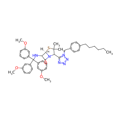 CCCCCCc1ccc(Cn2nnnc2C2N3C(=O)C(NC(c4cccc(OC)c4)(c4cccc(OC)c4)c4cccc(OC)c4)[C@H]3SC2(C)C)cc1